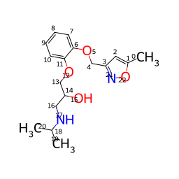 Cc1cc(COc2ccccc2OCC(O)CNC(C)C)no1